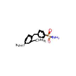 COc1ccc(Cc2ccc(S(N)(=O)=O)cc2)c(OC)c1